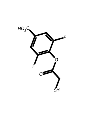 O=C(CS)Oc1c(F)cc(C(=O)O)cc1F